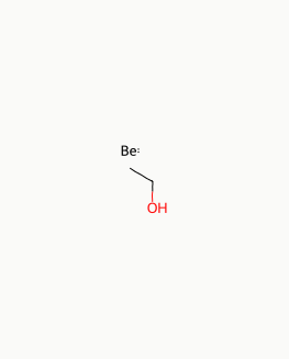 CCO.[Be]